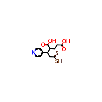 O=C(O)CCC(C(=O)O)C(CC(=S)S)c1ccncc1